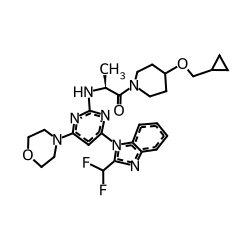 C[C@H](Nc1nc(N2CCOCC2)cc(-n2c(C(F)F)nc3ccccc32)n1)C(=O)N1CCC(OCC2CC2)CC1